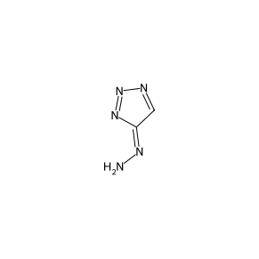 NN=C1C=NN=N1